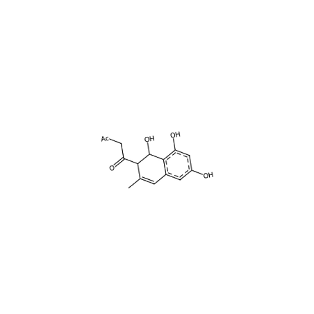 CC(=O)CC(=O)C1C(C)=Cc2cc(O)cc(O)c2C1O